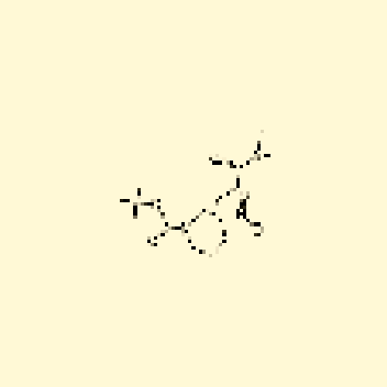 CNC(=O)CCC1([N+](=O)[O-])CCCN(C(=O)OC(C)(C)C)C1